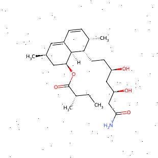 CC[C@H](C)C(=O)O[C@H]1C[C@@H](C)C=C2C=C[C@H](C)[C@H](CC[C@@H](O)C[C@@H](O)CC(N)=O)[C@H]21